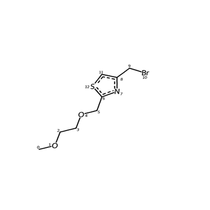 COCCOCc1nc(CBr)cs1